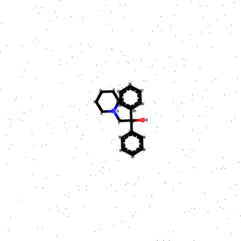 [O]C(CN1CCCCC1)(c1ccccc1)c1ccccc1